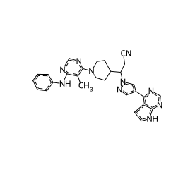 Cc1c(Nc2ccccc2)ncnc1N1CCC(C(CC#N)n2cc(-c3ncnc4[nH]ccc34)cn2)CC1